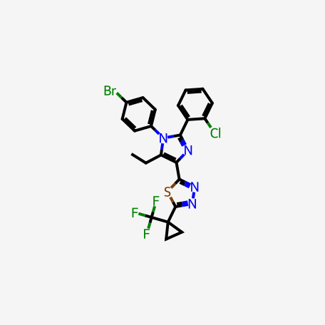 CCc1c(-c2nnc(C3(C(F)(F)F)CC3)s2)nc(-c2ccccc2Cl)n1-c1ccc(Br)cc1